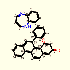 C1=CNc2ccccc2N=C1.O=C1C=c2ccc3c(c2C(=O)C1)C(c1ccccc1)C=c1ccccc1=3